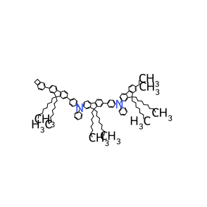 CCCCCCCCC1(CCCCCCCC)c2cc(-c3ccc(N(c4ccccc4)c4ccc5c(c4)C(CCCCCCCC)(CCCCCCCC)c4cc(-c6ccc(N(c7ccccc7)c7ccc8c(c7)C(CCCCCCCC)(CCCCCCCC)c7cc(C(C)CC)ccc7-8)cc6)ccc4-5)cc3)ccc2-c2ccc(-c3ccc4c(c3)CC4)cc21